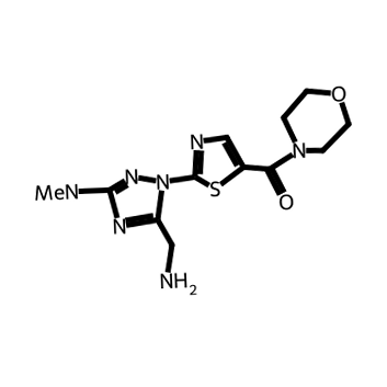 CNc1nc(CN)n(-c2ncc(C(=O)N3CCOCC3)s2)n1